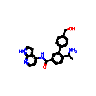 CC(N)c1ccc(C(=O)Nc2ccnc3[nH]ccc23)cc1-c1ccc(CO)cc1